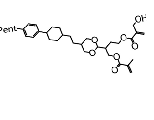 C=C(C)C(=O)OCC(CCOC(=O)C(=C)CO)C1OCC(CCC2CCC(c3ccc(CCCCC)cc3)CC2)CO1